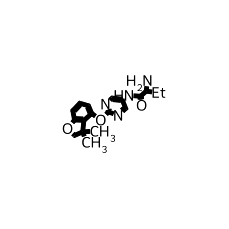 CCC(N)C(=O)Nc1cnc(Oc2cccc3c2C(C)(C)CO3)nc1